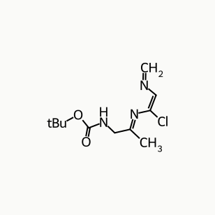 C=N/C=C(Cl)\N=C(/C)CNC(=O)OC(C)(C)C